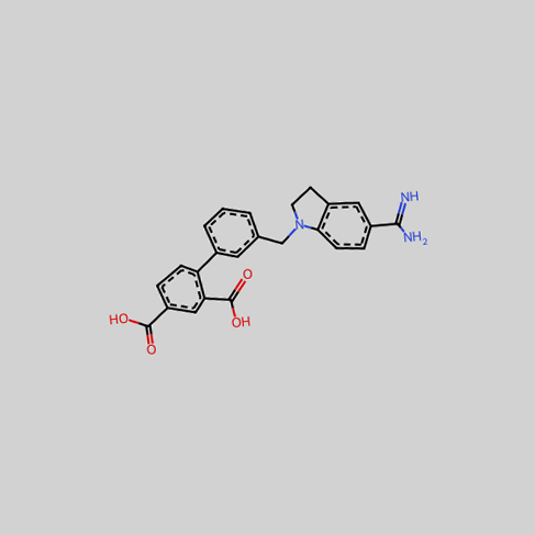 N=C(N)c1ccc2c(c1)CCN2Cc1cccc(-c2ccc(C(=O)O)cc2C(=O)O)c1